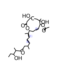 CCC(O)C(C)C1OC1CC(C)/C=C/C=C(\C)C1C/C=C/C(OC(C)=O)C(C)(O)CCC(O)CC(=O)O1